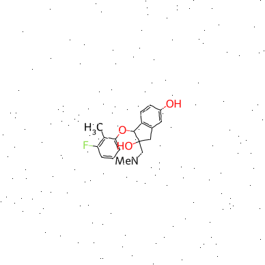 CNCC1(O)Cc2cc(O)ccc2C1Oc1cccc(F)c1C